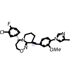 COc1cc(/C=C2\CCCN3C2=NOCC[C@@H]3c2ccc(F)c(Cl)c2)ccc1-n1cnc(C)c1